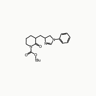 CC(C)(C)OC(=O)N1CCCC(CC2CN(c3ccccc3)C=N2)C1=O